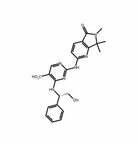 CN1C(=O)c2ccc(Nc3ncc(C(=O)O)c(N[C@H](CO)c4ccccc4)n3)nc2C1(C)C